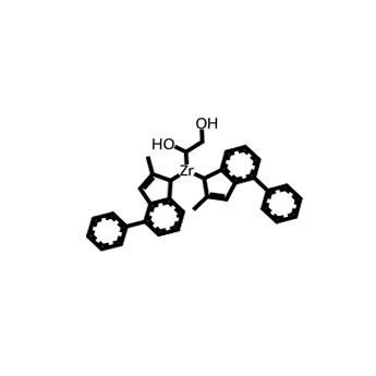 CC1=Cc2c(-c3ccccc3)cccc2[CH]1[Zr]([CH](O)CO)[CH]1C(C)=Cc2c(-c3ccccc3)cccc21